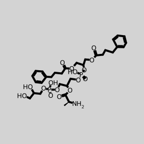 C[C@H](N)C(=O)OC(COP(=O)(O)OCC(O)CO)COP(=O)(O)OC(COC(=O)CCCc1ccccc1)COC(=O)CCCc1ccccc1